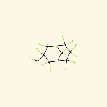 FCC1(F)C(F)(F)C2C(F)(F)C(C(F)(F)C(F)(F)C2(F)F)C1(F)F